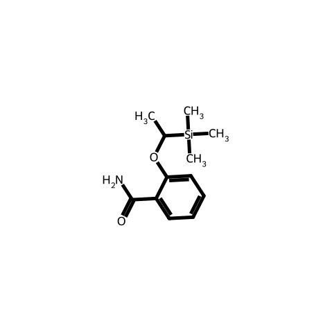 CC(Oc1ccccc1C(N)=O)[Si](C)(C)C